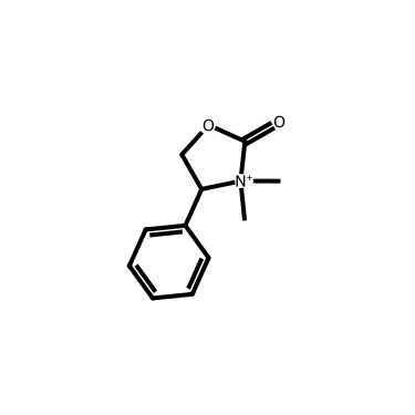 C[N+]1(C)C(=O)OCC1c1ccccc1